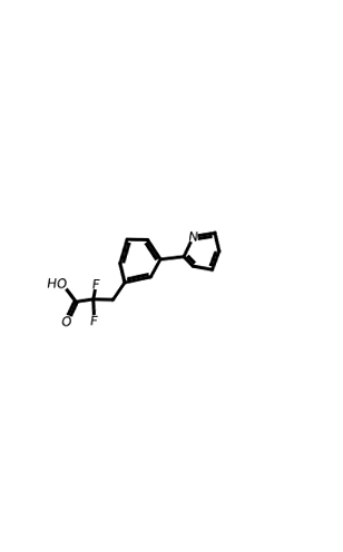 O=C(O)C(F)(F)Cc1cccc(-c2ccccn2)c1